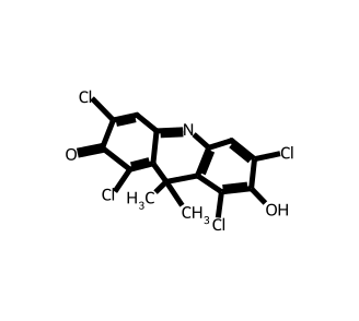 CC1(C)C2=C(Cl)C(=O)C(Cl)=CC2=Nc2cc(Cl)c(O)c(Cl)c21